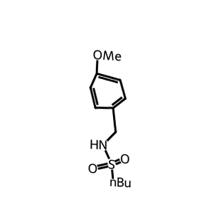 CCCCS(=O)(=O)NCc1ccc(OC)cc1